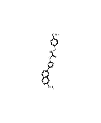 COc1ccc(CNC(=O)Oc2ncc(-c3ccc4cnc(N)nc4c3)s2)cc1